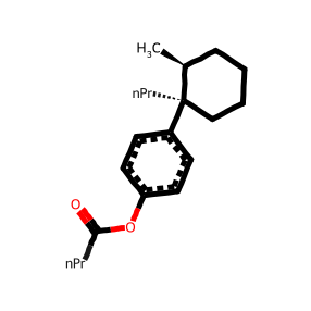 CCCC(=O)Oc1ccc([C@]2(CCC)CCCC[C@@H]2C)cc1